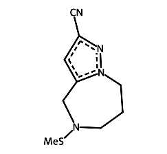 CSN1CCCn2nc(C#N)cc2C1